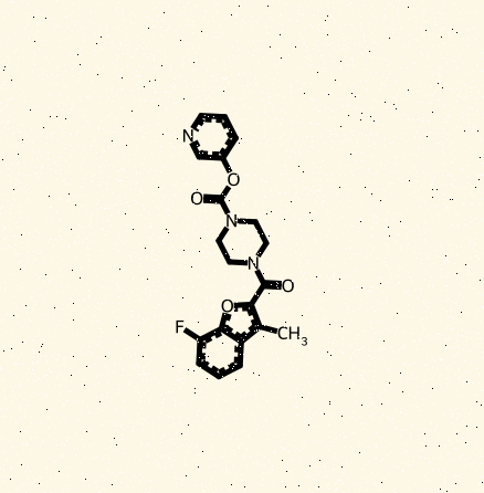 Cc1c(C(=O)N2CCN(C(=O)Oc3cccnc3)CC2)oc2c(F)cccc12